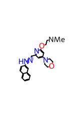 CNCCOc1cc(N2CCOCC2)cc(/C=N/Nc2ccc3ccccc3c2)n1